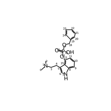 CN(C)CCc1c[nH]c2cccc(OP(=O)(O)OCc3ccccc3)c12